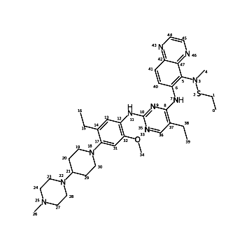 CCSN(C)c1c(Nc2nc(Nc3cc(CC)c(N4CCC(N5CCN(C)CC5)CC4)cc3OC)ncc2CC)ccc2nccnc12